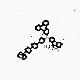 CC1(C)c2ccccc2-c2ccc(N(c3ccc(-c4ccc(-c5ccc(C67CC8CC(CC(C8)C6)C7)cc5)cc4)cc3)c3ccc4c5ccccc5c5ccccc5c4c3)cc21